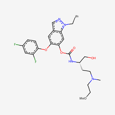 COCCN(C)CC[C@@H](CO)NC(=O)Oc1cc2c(cnn2CC(C)C)cc1Oc1ccc(F)cc1F